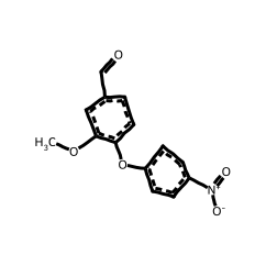 COc1cc(C=O)ccc1Oc1ccc([N+](=O)[O-])cc1